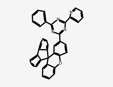 c1ccc(-c2nc(-c3ccc4c(c3)C3(c5ccccc5O4)c4ccccc4-c4ccccc43)nc(-c3ccccn3)n2)cc1